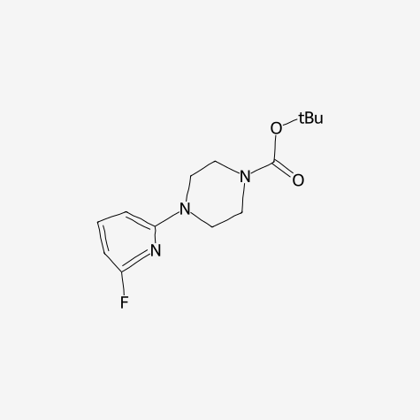 CC(C)(C)OC(=O)N1CCN(c2cccc(F)n2)CC1